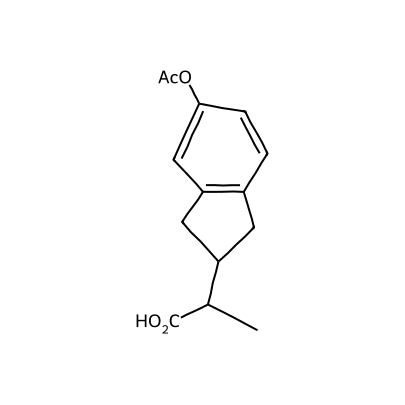 CC(=O)Oc1ccc2c(c1)CC(C(C)C(=O)O)C2